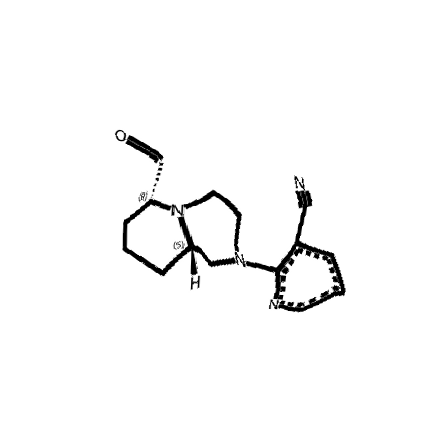 N#Cc1cccnc1N1CCN2[C@@H](CCC[C@@H]2C=O)C1